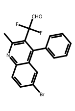 Cc1nc2ccc(Br)cc2c(-c2ccccc2)c1C(F)(F)C=O